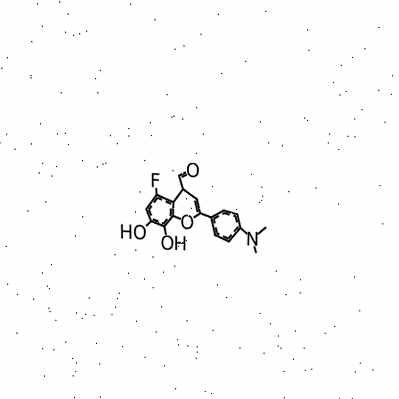 CN(C)c1ccc(C2=CC(C=O)c3c(F)cc(O)c(O)c3O2)cc1